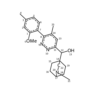 COc1cc(C)ccc1-c1nnc(C(O)C23CCC(CC2)N(C)C3)cc1C